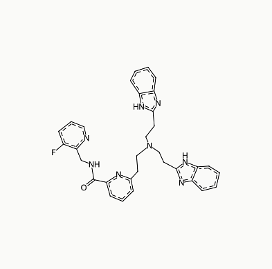 O=C(NCc1ncccc1F)c1cccc(CCN(CCc2nc3ccccc3[nH]2)CCc2nc3ccccc3[nH]2)n1